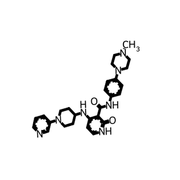 CN1CCN(c2ccc(NC(=O)c3c(NC4CCN(c5cccnc5)CC4)cc[nH]c3=O)cc2)CC1